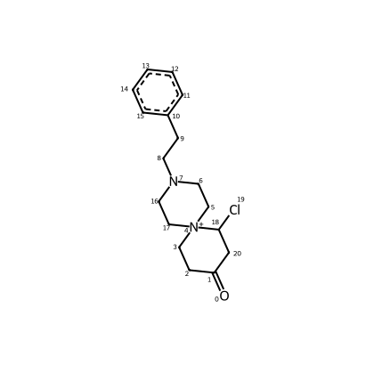 O=C1CC[N+]2(CCN(CCc3ccccc3)CC2)C(Cl)C1